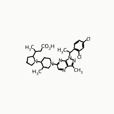 Cc1nn(C(C)c2ccc(Cl)cc2Cl)c2nc(N3CCC(N4CCCC4C(C)CC(=O)O)C(C)C3)cnc12